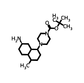 CC1CCC(N2CCN(C(=O)OC(C)(C)C)CC2)C2C[C@H](N)CCC12